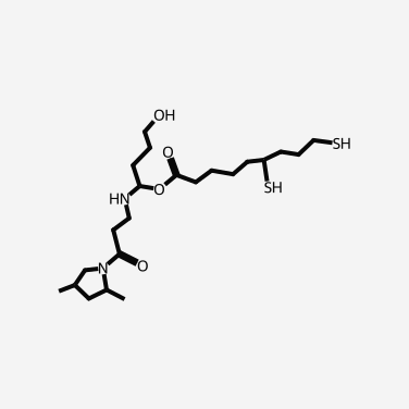 CC1CC(C)N(C(=O)CCNC(CCCO)OC(=O)CCCCC(S)CCCS)C1